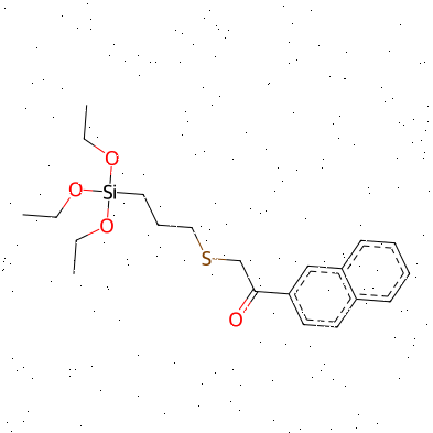 CCO[Si](CCCSCC(=O)c1ccc2ccccc2c1)(OCC)OCC